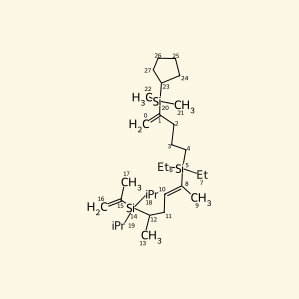 C=C(CCC[Si](CC)(CC)/C(C)=C/CC(C)[Si](C(=C)C)(C(C)C)C(C)C)[Si](C)(C)C1CCCC1